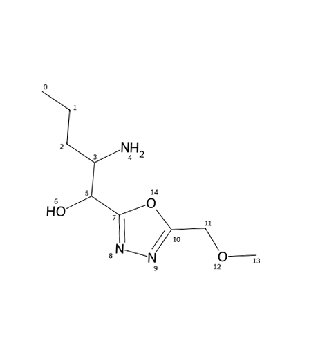 CCCC(N)C(O)c1nnc(COC)o1